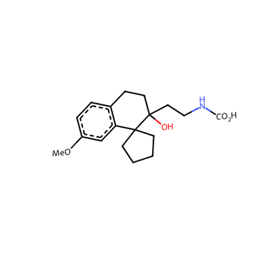 COc1ccc2c(c1)C1(CCCC1)C(O)(CCNC(=O)O)CC2